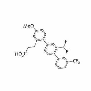 COc1ccc(-c2ccc(-c3cccc(C(F)(F)F)c3)c(C(F)F)c2)c(CCC(=O)O)c1